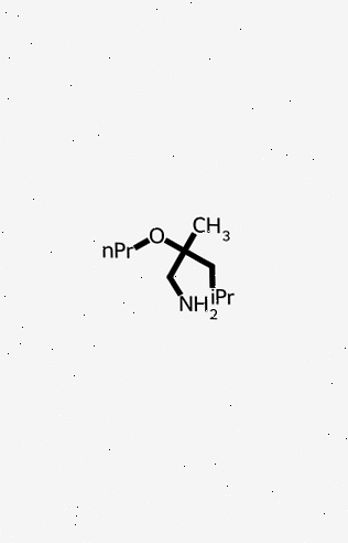 CCCOC(C)(CN)CC(C)C